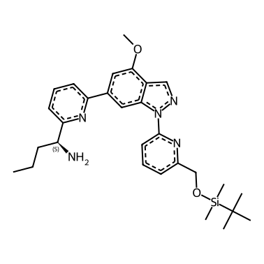 CCC[C@H](N)c1cccc(-c2cc(OC)c3cnn(-c4cccc(CO[Si](C)(C)C(C)(C)C)n4)c3c2)n1